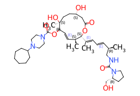 C/C(=C\C=C\[C@@H](C)CNC(=O)N1CCC[C@@H]1CO)[C@H]1OC(=O)C[C@@H](O)CC[C@](C)(O)[C@H](OC(=O)N2CCN(C3CCCCCC3)CC2)/C=C/[C@@H]1C